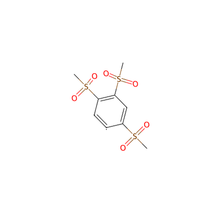 CS(=O)(=O)c1[c]cc(S(C)(=O)=O)c(S(C)(=O)=O)c1